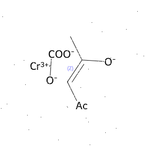 CC(=O)/C=C(/C)[O-].O=C([O-])[O-].[Cr+3]